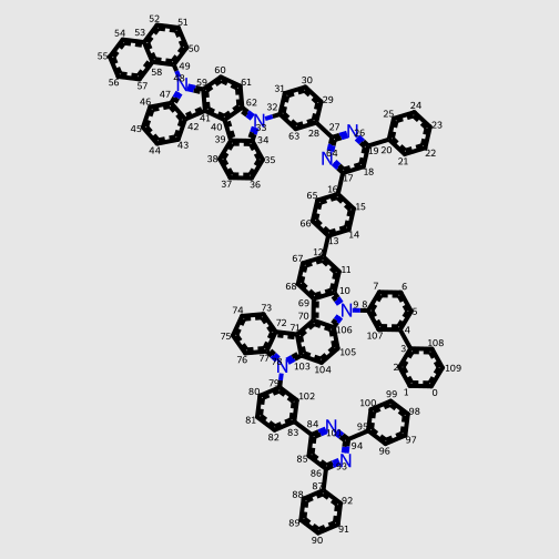 c1ccc(-c2cccc(-n3c4cc(-c5ccc(-c6cc(-c7ccccc7)nc(-c7cccc(-n8c9ccccc9c9c%10c%11ccccc%11n(-c%11cccc%12ccccc%11%12)c%10ccc98)c7)n6)cc5)ccc4c4c5c6ccccc6n(-c6cccc(-c7cc(-c8ccccc8)nc(-c8ccccc8)n7)c6)c5ccc43)c2)cc1